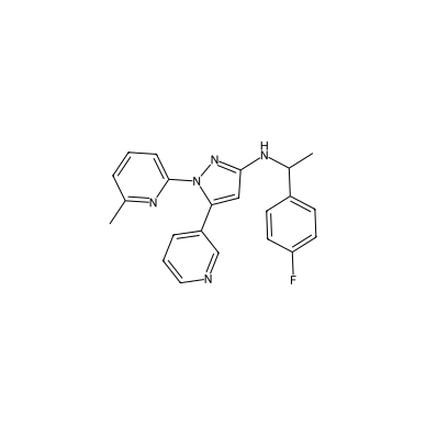 Cc1cccc(-n2nc(NC(C)c3ccc(F)cc3)cc2-c2cccnc2)n1